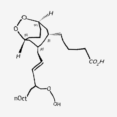 CCCCCCCCC(C=C[C@@H]1[C@@H](CCCC(=O)O)[C@H]2C[C@H]1OO2)OO